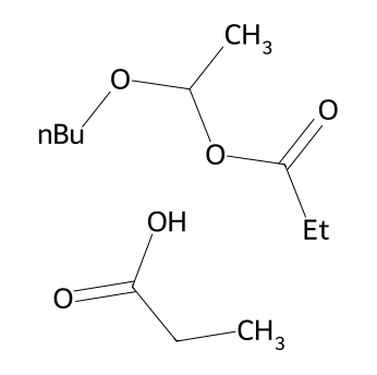 CCC(=O)O.CCCCOC(C)OC(=O)CC